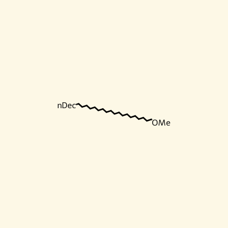 [CH2]CCCCCCCCCCCCCCCCCCCCCCCCCCCCOC